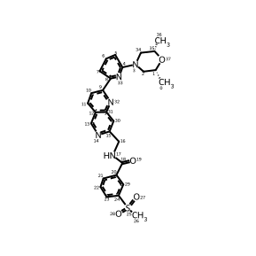 C[C@@H]1CN(c2cccc(-c3ccc4cnc(CNC(=O)c5cccc(S(C)(=O)=O)c5)cc4n3)n2)C[C@H](C)O1